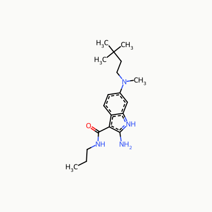 CCCNC(=O)c1c(N)[nH]c2cc(N(C)CCC(C)(C)C)ccc12